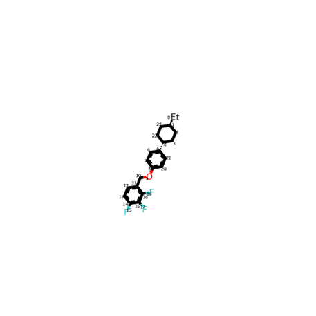 CC[C@H]1CC[C@H](c2ccc(OCc3ccc(F)c(F)c3F)cc2)CC1